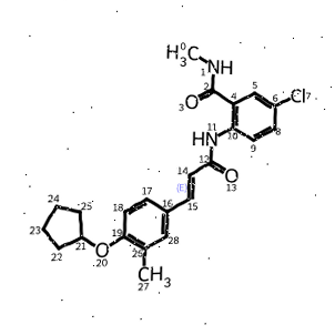 CNC(=O)c1cc(Cl)ccc1NC(=O)/C=C/c1ccc(OC2CCCC2)c(C)c1